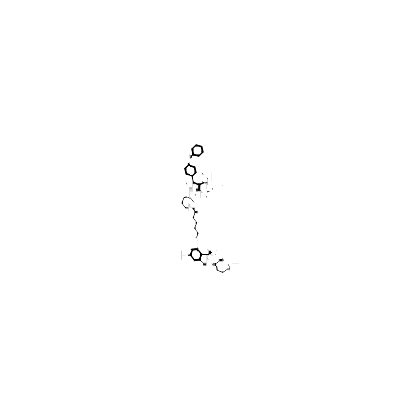 Nc1ncnc2c1c(-c1ccc(Oc3ccccc3)cc1)nn2C1CCCN(C(=O)CCCCCSc2cc(F)cc3c2C(=O)N(C2CCC(=O)NC2=O)C3=O)C1